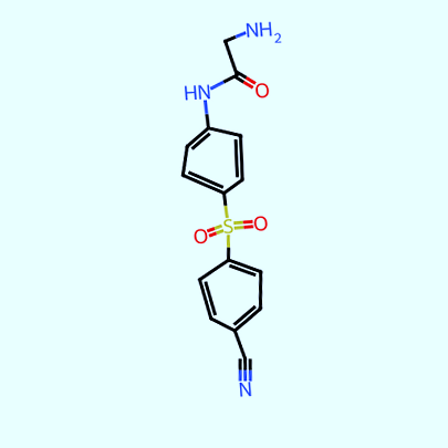 N#Cc1ccc(S(=O)(=O)c2ccc(NC(=O)CN)cc2)cc1